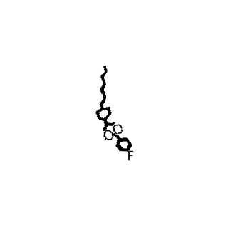 CCCCCCCC1CCC(C2COC(c3ccc(F)cc3)OC2)CC1